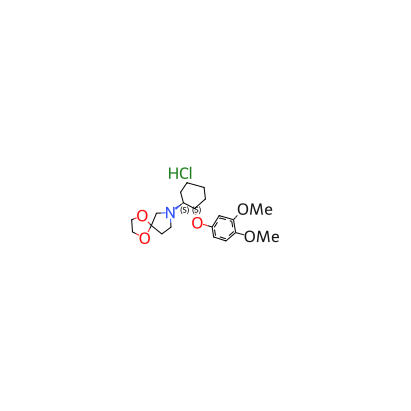 COc1ccc(O[C@H]2CCCC[C@@H]2N2CCC3(C2)OCCO3)cc1OC.Cl